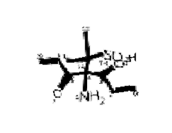 C=CC(=O)C(N)(C(=O)C=C)C(C)(C)S(=O)(=O)O